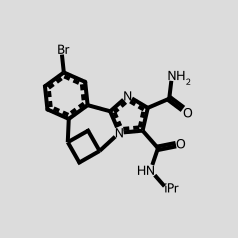 CC(C)NC(=O)c1c(C(N)=O)nc2n1C1CC(C1)c1ccc(Br)cc1-2